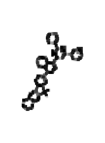 CC1(C)c2cc(-c3ccc(-c4cc(-c5cccnc5)nc(-c5ccccc5)n4)c4ccccc34)ccc2-c2cc3ccccc3cc21